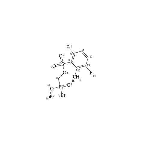 CCP(=O)(COS(=O)(=O)c1c(F)ccc(F)c1C)OC(C)C